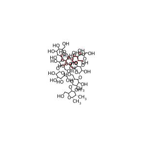 CC1C(O)[C@H](O[C@@H]2OC(CO)[C@H](O)C(O)[C@@H]2O)[C@H](CO)O[C@H]1O[C@@H]1C(O)[C@H](O)C(CO)O[C@@H]1OCC1O[C@@H](O[C@@H]2C(CO)O[C@@H](O[C@@H]3C(CO)O[C@@H](C)[C@@H](C)C3O)[C@@H](C)C2O)[C@H](O)C(O[C@H]2O[C@H](CO)[C@@H](O)C(O)C2O[C@@H]2OC(CO)[C@@H](O[C@@H]3OC(CO)[C@H](O)C(O)[C@@H]3O)C(O)[C@@H]2C)[C@@H]1O